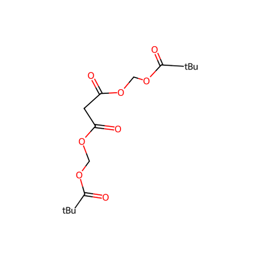 CC(C)(C)C(=O)OCOC(=O)CC(=O)OCOC(=O)C(C)(C)C